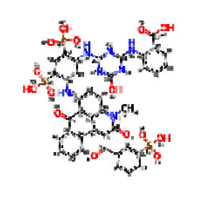 Cn1c(=O)c(C(=O)c2cccc(S(=O)(=O)O)c2)c2c3c(c(Nc4cc(Nc5nc(O)nc(Nc6ccccc6C(=O)O)n5)c(S(=O)(=O)O)cc4S(=O)(=O)O)ccc31)C(=O)c1ccccc1-2